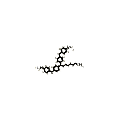 CCCCCCCC(c1ccc(Cc2ccc(N)cc2)cc1)c1ccc(Cc2ccc(N)cc2)cc1